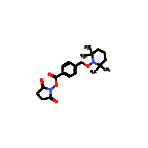 CC1(C)CCCC(C)(C)N1OCc1ccc(C(=O)ON2C(=O)CCC2=O)cc1